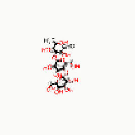 C[C@H](O)[C@H](O)[C@@H](O[C@H]1O[C@H](CO)[C@@H](O[C@@H]2O[C@H](CO)[C@@H](O)[C@H](O)[C@@H]2O)[C@H](O)[C@@H]1O)[C@@H](O)C=O